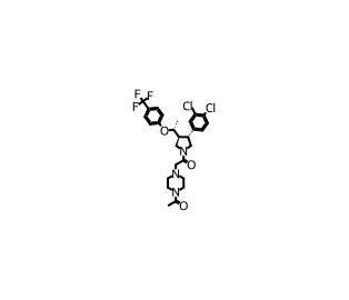 CC(=O)N1CCN(CC(=O)N2C[C@@H]([C@@H](C)Oc3ccc(C(F)(F)F)cc3)[C@H](c3ccc(Cl)c(Cl)c3)C2)CC1